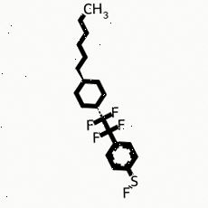 CCCCCC[C@H]1CC[C@H](C(F)(F)C(F)(F)c2ccc(SF)cc2)CC1